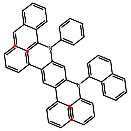 c1ccc(-c2cc(-c3ccccc3)c(N(c3ccccc3)c3cccc4ccccc34)cc2N(c2ccccc2)c2cccc3ccccc23)cc1